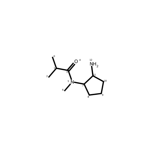 CC(C)C(=O)N(C)C1CCCC1N